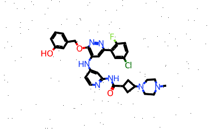 CN1CCN(C2CC(C(=O)Nc3cc(Nc4cc(-c5cc(Cl)ccc5F)nnc4OCc4cccc(O)c4)ccn3)C2)CC1